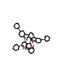 c1ccc(-c2ccc3c(c2)c2ccc4c5cc(-c6ccccc6)ccc5n(-c5ccccn5)c4c2n3-c2cc(-c3ccccc3)nc(-c3ccccc3)c2)cc1